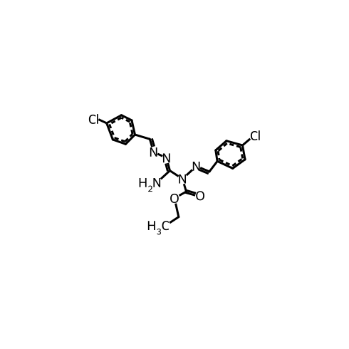 CCOC(=O)N(N=Cc1ccc(Cl)cc1)C(N)=NN=Cc1ccc(Cl)cc1